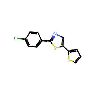 Clc1ccc(-c2ncc(-c3cccs3)s2)cc1